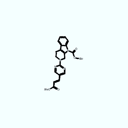 COC(=O)/C=C/c1cnc(N2CCc3c(n(C(=O)OC(C)(C)C)c4ccccc34)C2)nc1